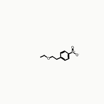 C[CH]OCCc1ccc([N+](=O)[O-])cc1